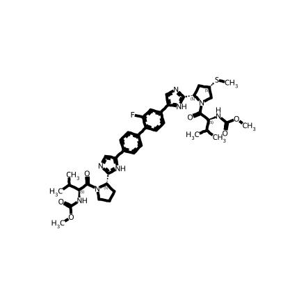 COC(=O)N[C@H](C(=O)N1CCC[C@H]1c1ncc(-c2ccc(-c3ccc(-c4cnc([C@@H]5C[C@H](SC)CN5C(=O)[C@@H](NC(=O)OC)C(C)C)[nH]4)cc3F)cc2)[nH]1)C(C)C